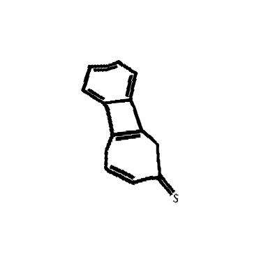 S=C1C=CC2=C(C1)c1ccccc12